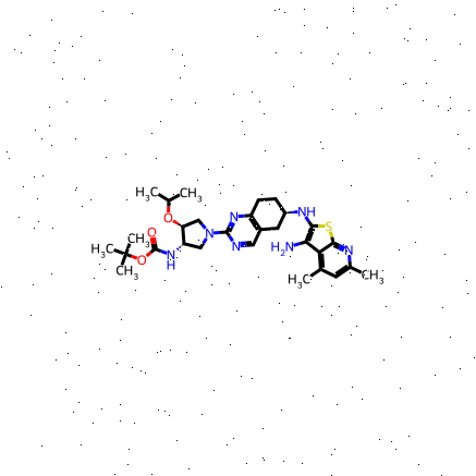 Cc1cc(C)c2c(N)c(N[C@@H]3CCc4nc(N5C[C@H](NC(=O)OC(C)(C)C)[C@@H](OC(C)C)C5)ncc4C3)sc2n1